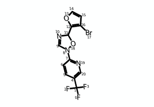 FC(F)(F)c1ccc(N2C=NC(c3occc3Br)O2)nc1